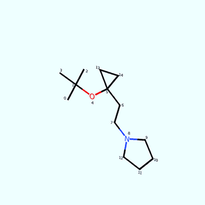 CC(C)(C)OC1(CCN2CCCC2)CC1